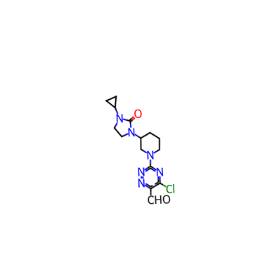 O=Cc1nnc(N2CCCC(N3CCN(C4CC4)C3=O)C2)nc1Cl